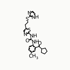 Cc1ccc(NC(=O)Nc2ncc(CCSc3ncc[nH]3)s2)c(C(=O)C2CCCC2)c1